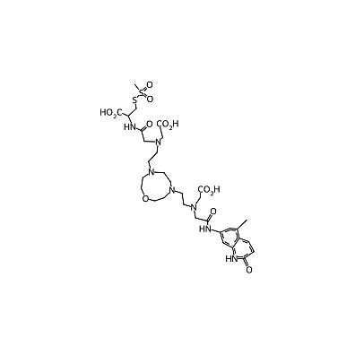 Cc1cc(NC(=O)CN(CCN2CCOCCN(CCN(CC(=O)O)CC(=O)NC(CSS(C)(=O)=O)C(=O)O)CC2)CC(=O)O)cc2[nH]c(=O)ccc12